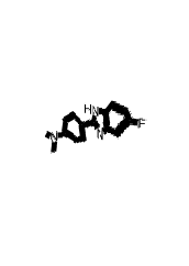 CN(C)c1ccc(-c2nc3cc(F)ccc3[nH]2)cc1